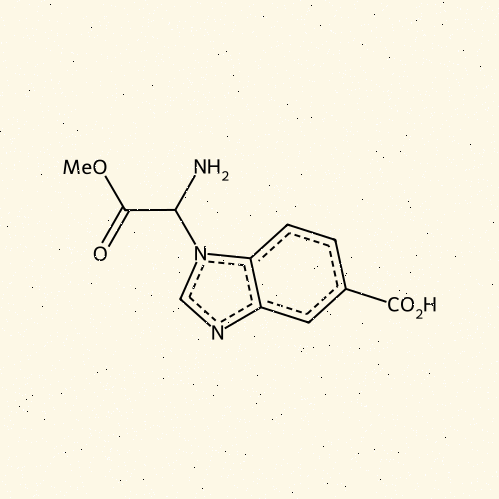 COC(=O)C(N)n1cnc2cc(C(=O)O)ccc21